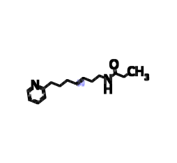 CCC(=O)NCC/C=C/CCCc1ccccn1